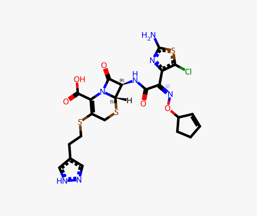 Nc1nc(/C(=N/OC2C=CCC2)C(=O)N[C@@H]2C(=O)N3C(C(=O)O)=C(SCCc4cn[nH]c4)CS[C@@H]23)c(Cl)s1